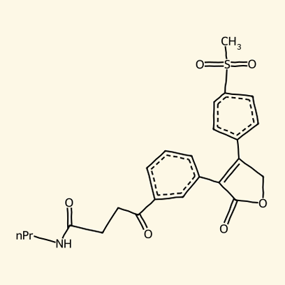 CCCNC(=O)CCC(=O)c1cccc(C2=C(c3ccc(S(C)(=O)=O)cc3)COC2=O)c1